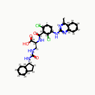 Cc1nc(Nc2ccc(Cl)c(C(=O)N[C@@H](CNC(=O)N[C@@H]3CCc4ccccc43)C(=O)O)c2Cl)nc2ccccc12